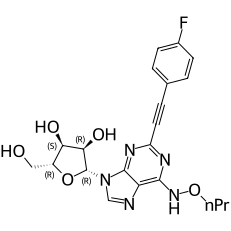 CCCONc1nc(C#Cc2ccc(F)cc2)nc2c1ncn2[C@@H]1O[C@H](CO)[C@@H](O)[C@H]1O